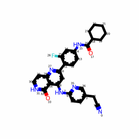 N#CCc1ccc(Nc2cc(-c3ccc(NC(=O)C4CCCCC4)cc3F)nc3cc[nH]c(=O)c23)nc1